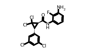 Nc1cccc(NC(=O)[C@H]2[C@H](c3cc(Cl)cc(Cl)c3)C2(Cl)Cl)c1F